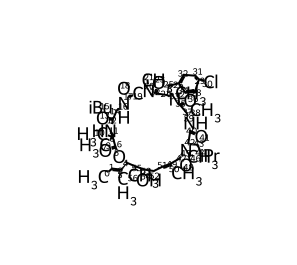 C/C=C(\C)[C@H]1OC(=O)C(C)(C)NC(=O)C([C@@H](C)CC)NC(=O)CN(C)C(=O)[C@@H](Cc2ccc(Cl)cc2)N(C)C(=O)[C@H](C)NC(=O)[C@@H](CC(C)C)N(C)C(=O)/C(C)=C/C[C@H](O)[C@@H]1C